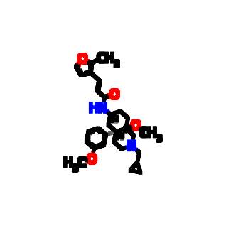 COc1cccc([C@@]23CCN(CC4CC4)C[C@@]2(OC)CC[C@H](NC(=O)C=Cc2ccoc2C)C3)c1